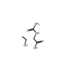 CCO.NC(=O)NCC(=O)O